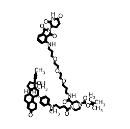 CC#C[C@]1(O)CC[C@H]2[C@@H]3CCC4=CC(=O)CCC4=C3[C@@H](c3ccc(N(C)CCCC(=O)N4CCN(C(=O)OC(C)(C)C)CC4C(=O)NCCCOCCOCCOCCCNc4cccc5c4C(=O)N(C4CCC(=O)NC4=O)C5=O)cc3)C[C@@]21C